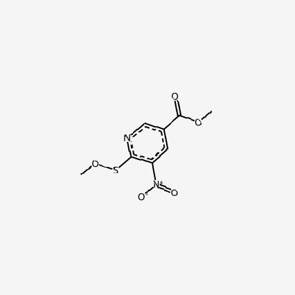 COSc1ncc(C(=O)OC)cc1[N+](=O)[O-]